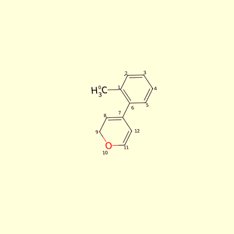 Cc1[c]cccc1C1=CCOC=C1